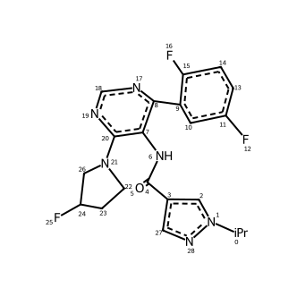 CC(C)n1cc(C(=O)Nc2c(-c3cc(F)ccc3F)ncnc2N2CCC(F)C2)cn1